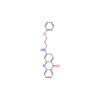 O=C1C2=CCC(NCCCOc3ccccc3)=CC2=Nc2ccccc21